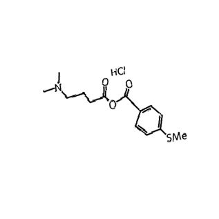 CSc1ccc(C(=O)OC(=O)CCCN(C)C)cc1.Cl